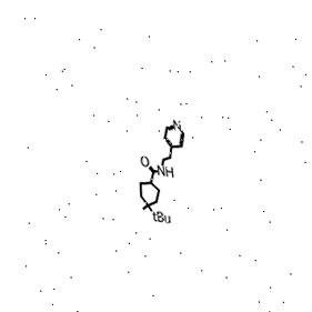 CC(C)(C)C1(C)CCC(C(=O)NCCc2ccncc2)CC1